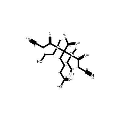 C[N+](CCO)(C(=O)CC#N)C(CCCC(=O)[O-])(C(=O)[O-])[N+](C)(CCO)C(=O)CC#N